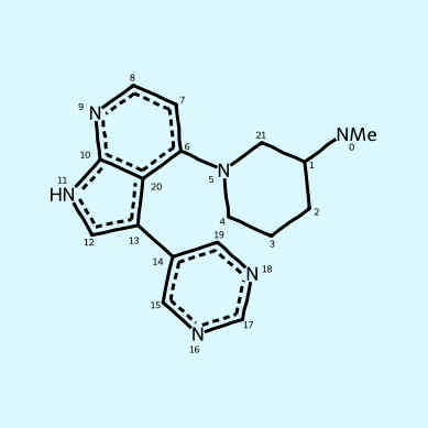 CNC1CCCN(c2ccnc3[nH]cc(-c4cncnc4)c23)C1